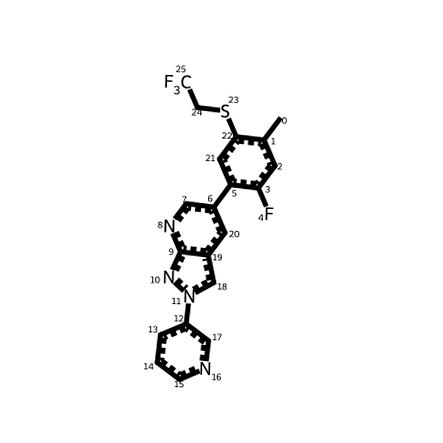 Cc1cc(F)c(-c2cnc3nn(-c4cccnc4)cc3c2)cc1SCC(F)(F)F